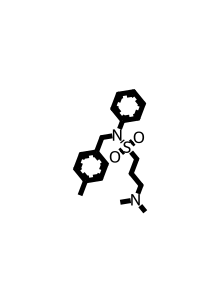 Cc1ccc(CN(c2ccccc2)S(=O)(=O)CCCN(C)C)cc1